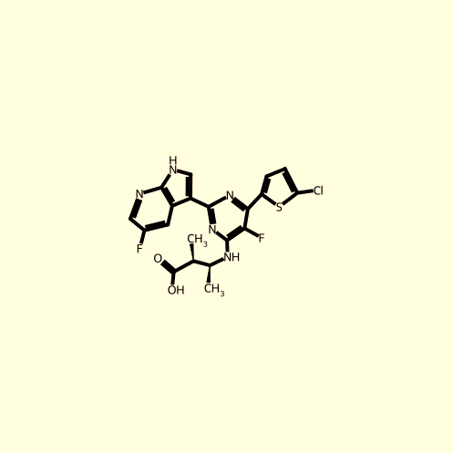 C[C@H](Nc1nc(-c2c[nH]c3ncc(F)cc23)nc(-c2ccc(Cl)s2)c1F)[C@H](C)C(=O)O